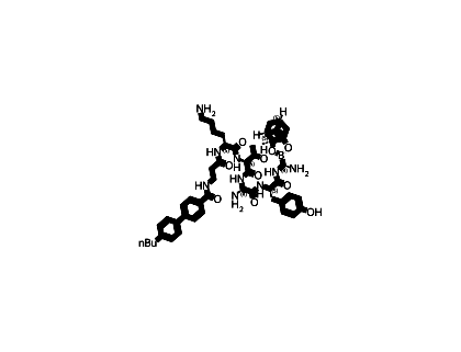 CCCCc1ccc(-c2ccc(C(=O)NCCC(=O)N[C@@H](CCCCN)C(=O)N[C@H](C(=O)N[C@@H](N)C(=O)N[C@@H](Cc3ccc(O)cc3)C(=O)N[C@@H](N)B3OC4C[C@@H]5C[C@@H](C5(C)C)[C@]4(C)O3)C(C)O)cc2)cc1